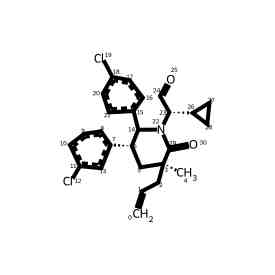 C=CC[C@@]1(C)C[C@H](c2cccc(Cl)c2)C(c2ccc(Cl)cc2)N([C@H](C=O)C2CC2)C1=O